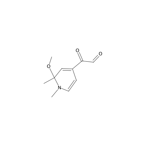 COC1(C)C=C(C(=O)C=O)C=CN1C